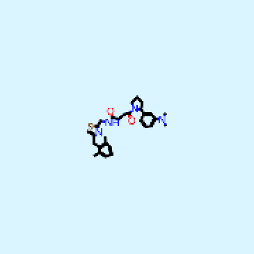 Cc1cccc(C)c1Cc1csc(CNC(=O)CCC(=O)N2CCCC2c2cccc(N(C)C)c2)n1